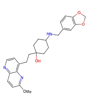 COc1ccc2nccc(CCC3(O)CCC(NCc4ccc5c(c4)OCO5)CC3)c2n1